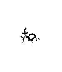 CCC(C)(C)N(C(C)=S)C1=CC(F)=C(N(C)C)CC=C1